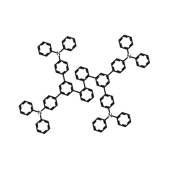 c1ccc(N(c2ccccc2)c2ccc(-c3cc(-c4ccc(N(c5ccccc5)c5ccccc5)cc4)cc(-c4ccccc4-c4ccccc4-c4cc(-c5ccc(N(c6ccccc6)c6ccccc6)cc5)cc(-c5ccc(N(c6ccccc6)c6ccccc6)cc5)c4)c3)cc2)cc1